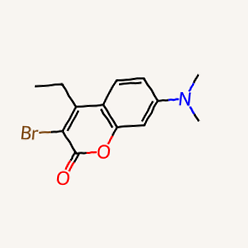 CCc1c(Br)c(=O)oc2cc(N(C)C)ccc12